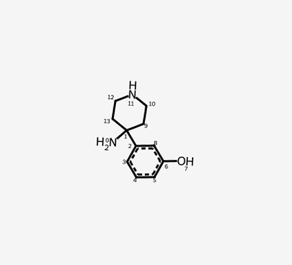 NC1(c2cccc(O)c2)CCNCC1